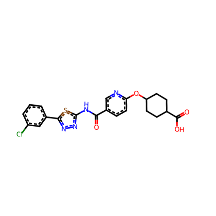 O=C(Nc1nnc(-c2cccc(Cl)c2)s1)c1ccc(OC2CCC(C(=O)O)CC2)nc1